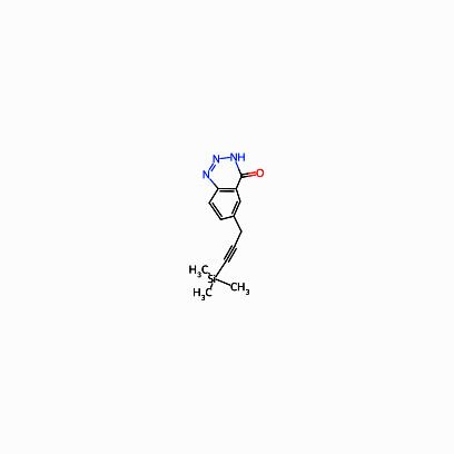 C[Si](C)(C)C#CCc1ccc2nn[nH]c(=O)c2c1